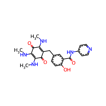 CNC1=C(Cc2ccc(O)c(C(=O)Nc3ccncc3)c2)C(=O)C(NC)=C(NC)C1=O